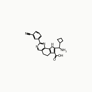 N#Cc1cccc(-c2ncc3c(n2)-c2[nH]c(C(N)C4CCC4)c(C(=O)O)c2CC3)c1